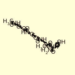 CN[C@@H](CCCCNC(=O)COCCOCCNC(=O)COCCOCCNC(C)=O)C(=O)CN[C@@H](Cc1ccc(O)cc1)C(N)=O